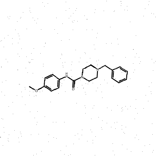 COc1ccc(NC(=O)N2CCN(Cc3ccccc3)CC2)cc1